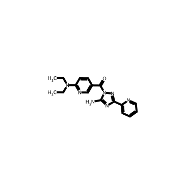 CCN(CC)c1ccc(C(=O)n2nc(-c3ccccn3)nc2N)cn1